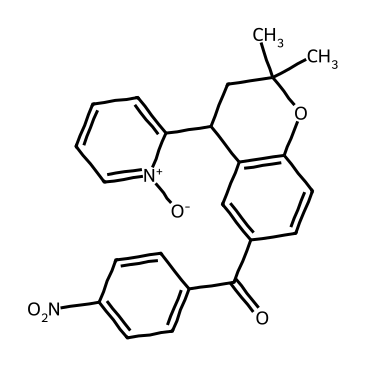 CC1(C)CC(c2cccc[n+]2[O-])c2cc(C(=O)c3ccc([N+](=O)[O-])cc3)ccc2O1